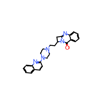 O=c1c2ccccc2nc2n1C(CCN1CCN(c3ccc4ccccc4n3)CC1)C2